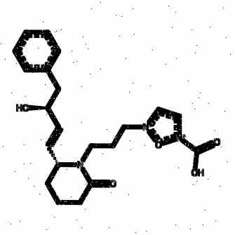 O=C1CCC[C@H](/C=C/[C@@H](O)Cc2ccccc2)N1CCC[n+]1cc[n+](C(=O)O)o1